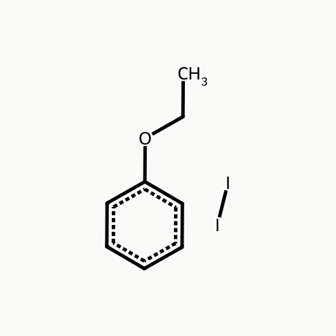 CCOc1ccccc1.II